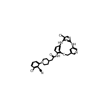 N#Cc1c(Cl)cccc1N1CCC(CC(=O)Nc2ccc3cc2CCc2cncc(c2)Nc2ncc(Cl)c(n2)N3)CC1